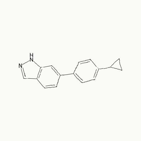 c1cc(C2CC2)ccc1-c1ccc2cn[nH]c2c1